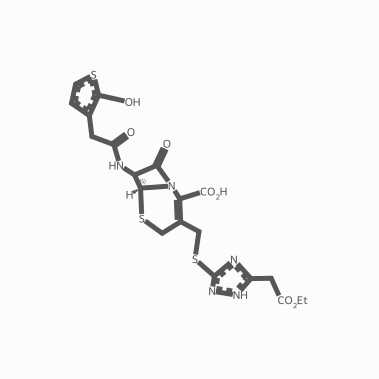 CCOC(=O)Cc1nc(SCC2=C(C(=O)O)N3C(=O)C(NC(=O)Cc4ccsc4O)[C@@H]3SC2)n[nH]1